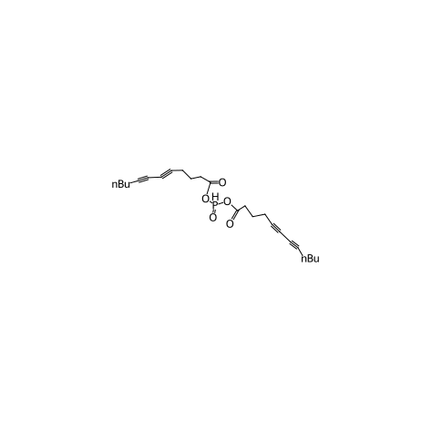 CCCCC#CC#CCCCC(=O)O[PH](=O)OC(=O)CCCC#CC#CCCCC